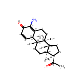 CC(=O)[C@H]1CC[C@H]2[C@@H]3CCC4=C(N)C(=O)C=C[C@]4(C)[C@H]3CC[C@]12C